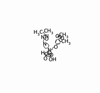 Cc1cc(OCCN(C)C2CCN(Cc3nc(C(C)C)no3)CC2)ccc1S(C)(=O)=O.O=C(O)C(=O)O